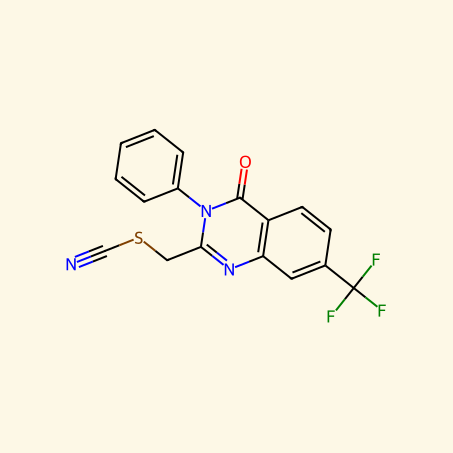 N#CSCc1nc2cc(C(F)(F)F)ccc2c(=O)n1-c1ccccc1